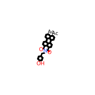 CC(=O)c1ccc2c3ccc4c5c(ccc(c6ccc(C(C)=O)c1c26)c53)C(=O)N(CCc1ccc(O)cc1)C4=O